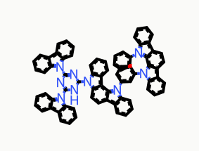 c1ccc(-n2c3ccccc3c3ccc4c5ccccc5n(-c5cccc(-n6c7ccccc7c7ccc8c(c9ccccc9n8C8N=C(n9c%10ccccc%10c%10ccccc%109)N=C(n9c%10ccccc%10c%10ccccc%109)N8)c76)c5)c4c32)cc1